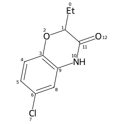 CCC1Oc2ccc(Cl)cc2NC1=O